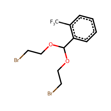 FC(F)(F)c1ccccc1C(OCCBr)OCCBr